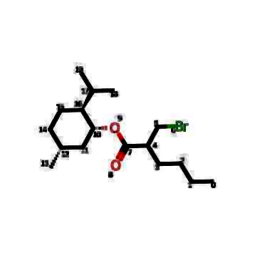 CCCCC(CBr)C(=O)O[C@@H]1C[C@H](C)CC[C@H]1C(C)C